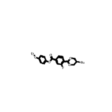 CCCCC1COC(c2ccc(C(=O)Oc3ccc(OCC)cc3)cc2F)OC1